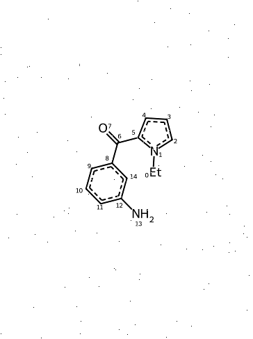 CCn1cccc1C(=O)c1cccc(N)c1